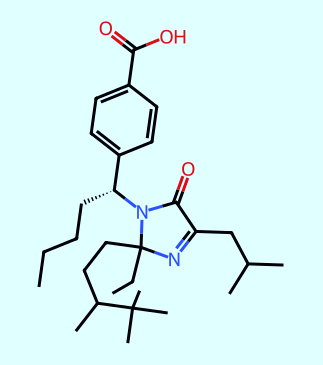 CCCC[C@H](c1ccc(C(=O)O)cc1)N1C(=O)C(CC(C)C)=NC1(CC)CCC(C)C(C)(C)C